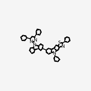 c1ccc(-c2cc(-c3ccccc3)nc(-n3c4ccccc4c4cc(-c5ccc6c(c5)c5cc7sc(-c8ccccc8)nc7cc5n6-c5ccccc5)ccc43)n2)cc1